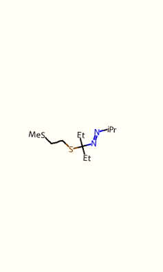 CCC(CC)(N=NC(C)C)SCCSC